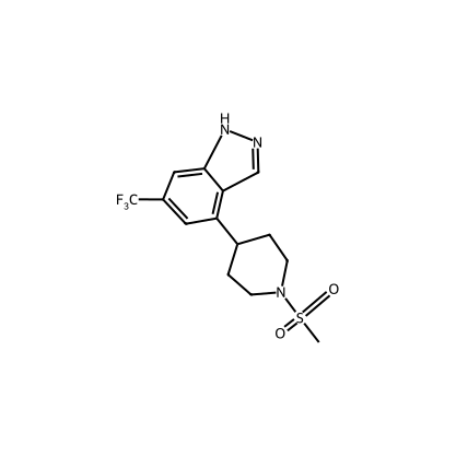 CS(=O)(=O)N1CCC(c2cc(C(F)(F)F)cc3[nH]ncc23)CC1